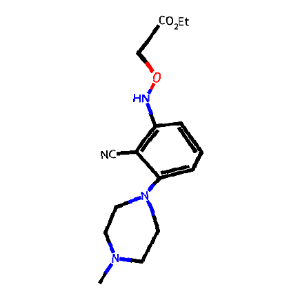 CCOC(=O)CONc1cccc(N2CCN(C)CC2)c1C#N